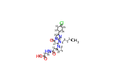 CCCCCn1c(N2CCC[C@H]2CC(=O)NCCC(=O)O)cc(=O)n2cc(-c3ccc(Cl)cc3)nc12